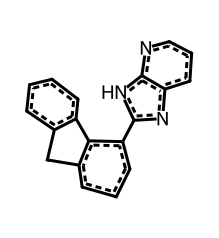 c1ccc2c(c1)Cc1cccc(-c3nc4cccnc4[nH]3)c1-2